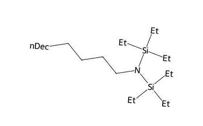 CCCCCCCCCCCCCCN([Si](CC)(CC)CC)[Si](CC)(CC)CC